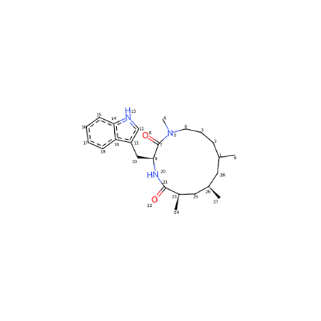 CC1CCCN(C)C(=O)[C@H](Cc2c[nH]c3ccccc23)NC(=O)[C@H](C)C[C@H](C)C1